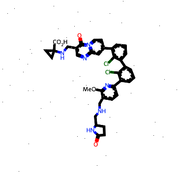 COc1nc(-c2cccc(-c3cccc(-c4ccn5c(=O)c(CNC6(C(=O)O)CC6)cnc5c4)c3Cl)c2Cl)ccc1CNCC1CCC(=O)N1